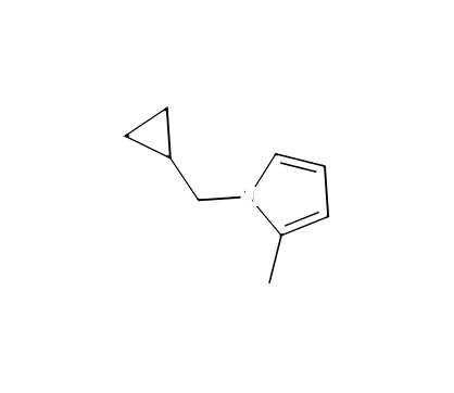 Cc1cccn1CC1CC1